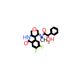 CN(C(=O)[C@@H](O)c1ccccc1)[C@H]1COCc2[nH]c(=O)c3cc(F)c(F)cc3c21